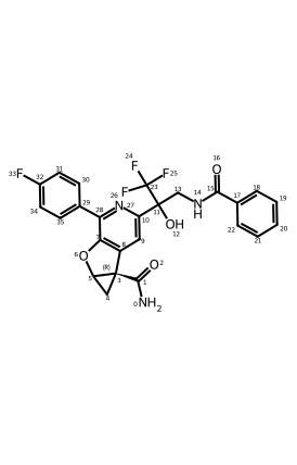 NC(=O)[C@@]12CC1Oc1c2cc(C(O)(CNC(=O)c2ccccc2)C(F)(F)F)nc1-c1ccc(F)cc1